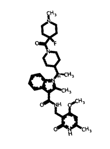 COc1cc(C)[nH]c(=O)c1CNC(=O)c1c(C)n([C@H](C)C2CCN(C(=O)C3(F)CCN(C)CC3)CC2)c2ccccc12